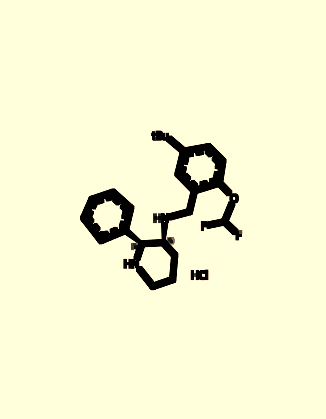 CC(C)(C)c1ccc(OC(F)F)c(CN[C@H]2CCCN[C@H]2c2ccccc2)c1.Cl